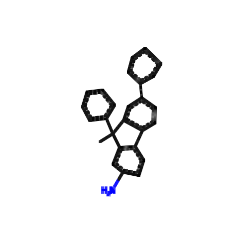 CC1(c2ccccc2)c2cc(N)ccc2-c2ccc(-c3ccccc3)cc21